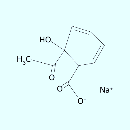 CC(=O)C1(O)C=CC=CC1C(=O)[O-].[Na+]